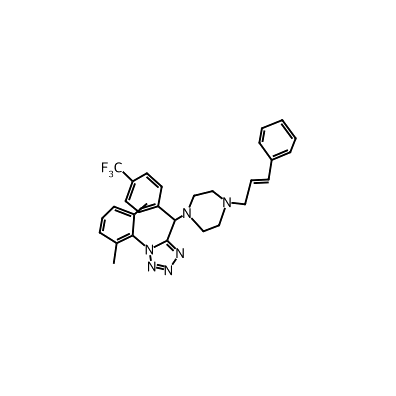 Cc1cccc(C)c1-n1nnnc1C(c1ccc(C(F)(F)F)cc1)N1CCN(CC=Cc2ccccc2)CC1